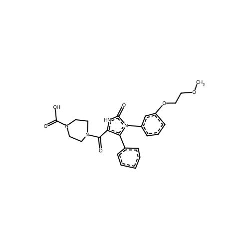 COCCOc1cccc(-n2c(-c3ccccc3)c(C(=O)N3CCN(C(=O)O)CC3)[nH]c2=O)c1